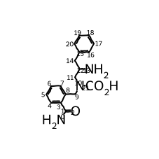 NC(=O)c1ccccc1CN(CC(N)Cc1ccccc1)C(=O)O